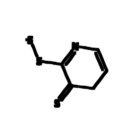 [S]SC1=NC=CCC1=S